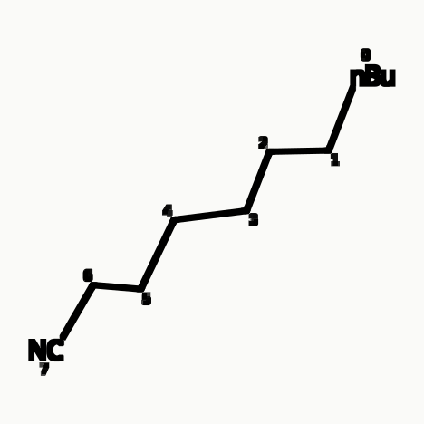 CCCCCCCCCCC#N